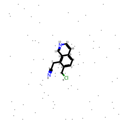 N#CCc1c(CCl)ccc2ccncc12